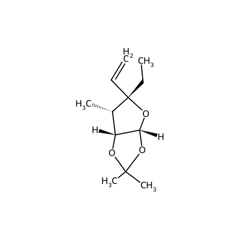 C=C[C@]1(CC)O[C@@H]2OC(C)(C)O[C@@H]2[C@@H]1C